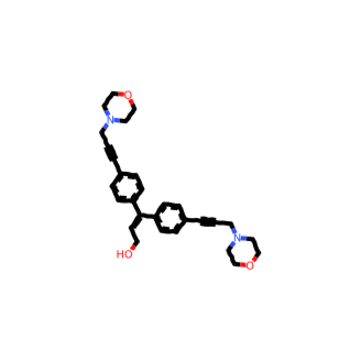 OCC=C(c1ccc(C#CCN2CCOCC2)cc1)c1ccc(C#CCN2CCOCC2)cc1